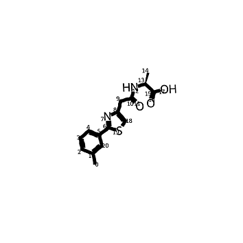 Cc1cccc(-c2nc(CC(=O)N[C@@H](C)C(=O)O)cs2)c1